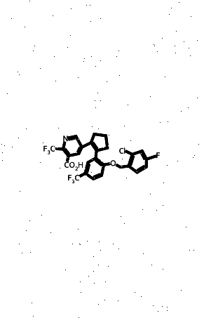 O=C(O)c1cc(C2=C(c3cc(C(F)(F)F)ccc3OCc3ccc(F)cc3Cl)CCC2)cnc1C(F)(F)F